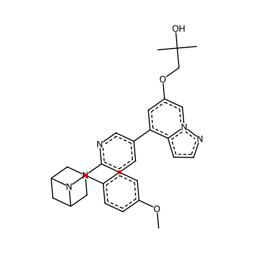 COc1ccc(CN2C3CC2CN(c2ccc(-c4cc(OCC(C)(C)O)cn5nccc45)cn2)C3)cc1